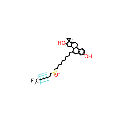 C[C@]12CCC3c4ccc(O)cc4C[C@@H](CCCCCCCCC[S+]([O-])CCC(F)(F)C(F)(F)C(F)(F)C(F)(F)F)C3C1C[C@@H](O)C21CC1